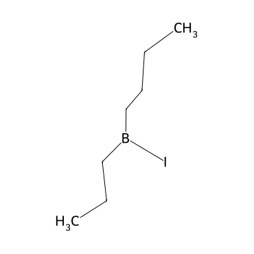 CCCCB(I)CCC